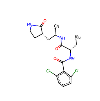 CC(C)(C)C[C@H](NC(=O)c1c(Cl)cccc1Cl)C(=O)N[C@H](C#N)C[C@@H]1CCNC1=O